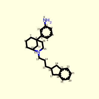 Nc1cccc(C23CCCC(C2)N(CCCC2Cc4ccccc4C2)CC3)c1